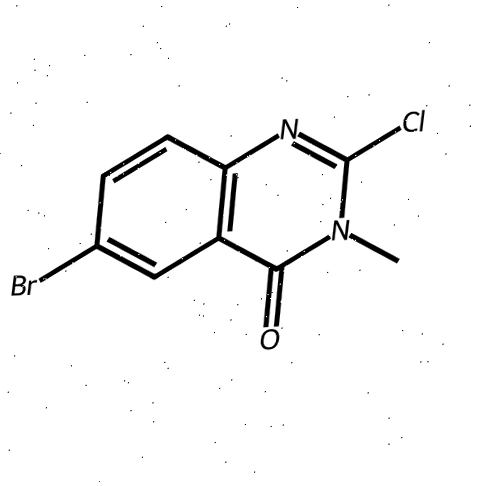 Cn1c(Cl)nc2ccc(Br)cc2c1=O